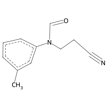 Cc1cccc(N(C=O)CCC#N)c1